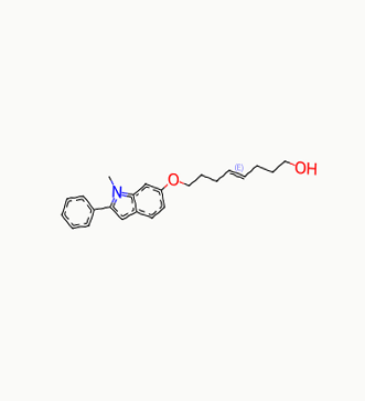 Cn1c(-c2ccccc2)cc2ccc(OCCC/C=C/CCCO)cc21